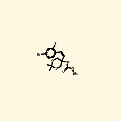 CC(C)(C)OC(=O)NC1(/C=C\c2ccc(Br)cc2F)COC(C)(C)OC1